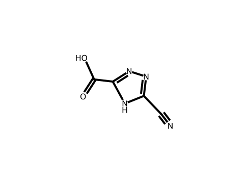 N#Cc1nnc(C(=O)O)[nH]1